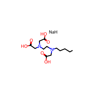 CCCCCN(CCN(CC(=O)O)CC(=O)O)CC(=O)O.[NaH]